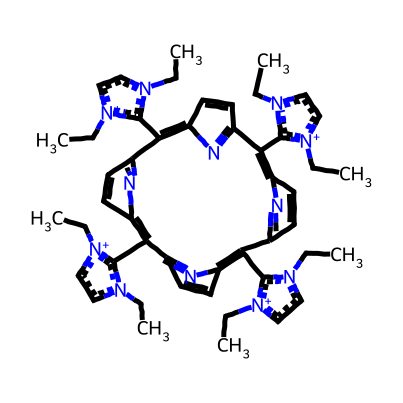 CCn1cc[n+](CC)c1C1=C2C=CC(=N2)C(c2n(CC)cc[n+]2CC)=C2C=CC(=N2)C(c2n(CC)cc[n+]2CC)=C2C=CC(=N2)C(c2n(CC)cc[n+]2CC)=C2C=CC1=N2